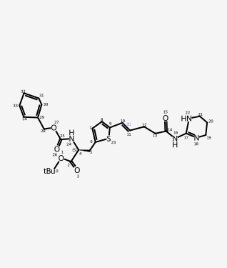 CC(C)(C)OC(=O)[C@H](Cc1ccc(/C=C/CCC(=O)NC2=NCCCN2)s1)NC(=O)OCc1ccccc1